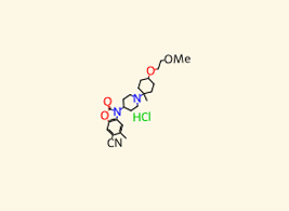 COCCOC1CCC(C)(N2CCC(n3c(=O)oc4cc(C#N)c(C)cc43)CC2)CC1.Cl